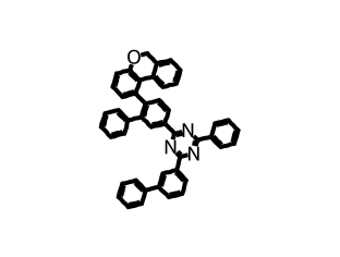 c1ccc(-c2cccc(-c3nc(-c4ccccc4)nc(-c4ccc(-c5cccc6c5-c5ccccc5CO6)c(-c5ccccc5)c4)n3)c2)cc1